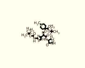 CN1CCC(O/N=C(\C(=O)N[C@H]2CONC2=O)c2csc(NC(=O)OC(C)(C)C)n2)(C(=O)OC(C)(C)C)CC1